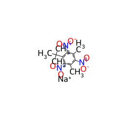 Cc1c([N+](=O)[O-])c(C)c([N+](=O)[O-])c(C(C)(C)C)c1[N+](=O)[O-].[Na+]